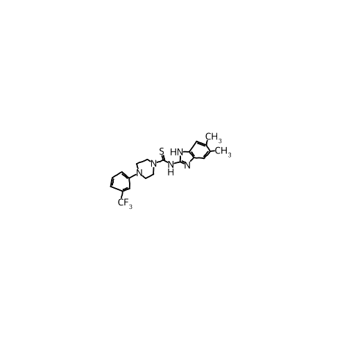 Cc1cc2nc(NC(=S)N3CCN(c4cccc(C(F)(F)F)c4)CC3)[nH]c2cc1C